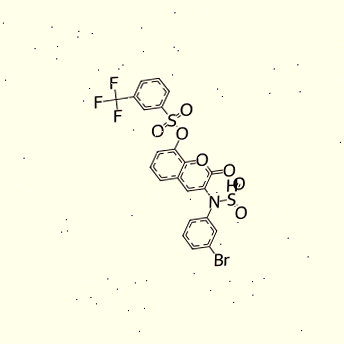 O=c1oc2c(OS(=O)(=O)c3cccc(C(F)(F)F)c3)cccc2cc1N(c1cccc(Br)c1)[SH](=O)=O